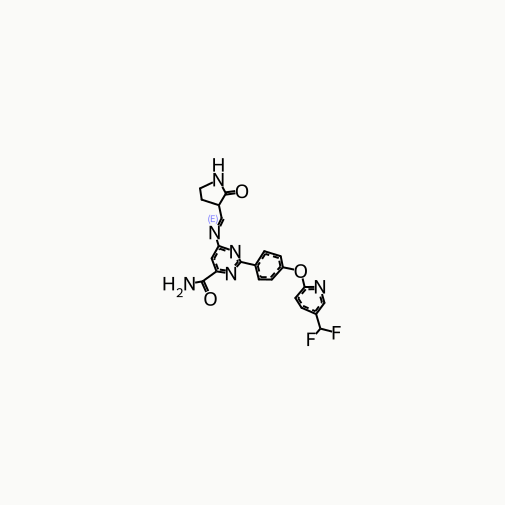 NC(=O)c1cc(/N=C/C2CCNC2=O)nc(-c2ccc(Oc3ccc(C(F)F)cn3)cc2)n1